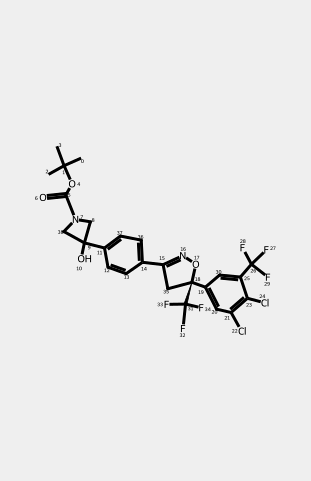 CC(C)(C)OC(=O)N1CC(O)(c2ccc(C3=NO[C@@](c4cc(Cl)c(Cl)c(C(F)(F)F)c4)(C(F)(F)F)C3)cc2)C1